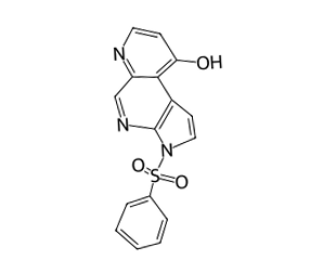 O=S(=O)(c1ccccc1)n1ccc2c3c(O)ccnc3cnc21